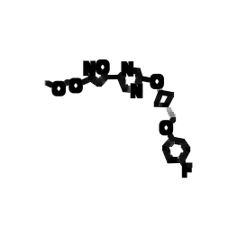 COCOc1cc(-c2cnc(O[C@H]3C[C@@H](COc4ccc(F)cc4)C3)cn2)on1